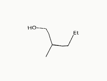 [CH2]CCC(C)CO